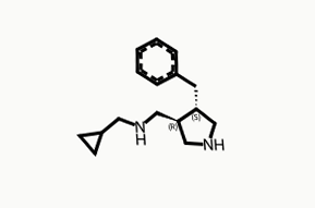 c1ccc(C[C@@H]2CNC[C@H]2CNCC2CC2)cc1